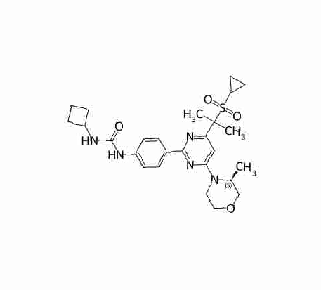 C[C@H]1COCCN1c1cc(C(C)(C)S(=O)(=O)C2CC2)nc(-c2ccc(NC(=O)NC3CCC3)cc2)n1